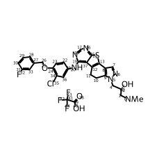 CNC[C@@H](O)Cn1ncc2c1CCc1c-2sc2ncnc(Nc3ccc(OCc4cccc(F)c4)c(Cl)c3)c12.O=C(O)C(F)(F)F